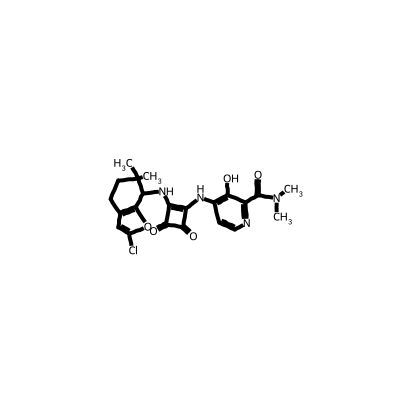 CN(C)C(=O)c1nccc(Nc2c(NC3c4oc(Cl)cc4CCC3(C)C)c(=O)c2=O)c1O